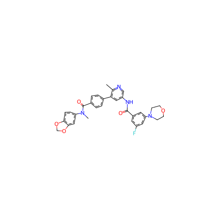 Cc1ncc(NC(=O)c2cc(F)cc(N3CCOCC3)c2)cc1-c1ccc(C(=O)N(C)c2ccc3c(c2)OCO3)cc1